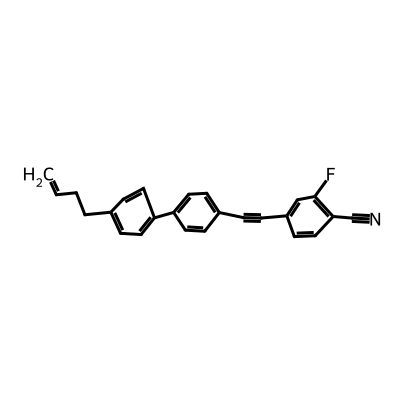 C=CCCc1ccc(-c2ccc(C#Cc3ccc(C#N)c(F)c3)cc2)cc1